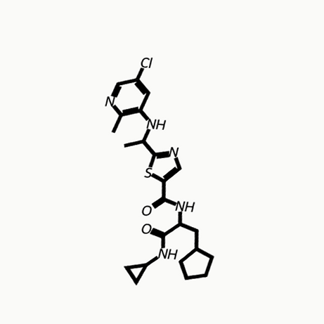 Cc1ncc(Cl)cc1NC(C)c1ncc(C(=O)NC(CC2CCCC2)C(=O)NC2CC2)s1